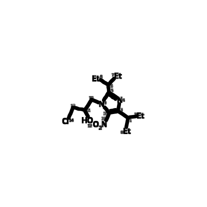 CCC(CC)c1nc(C(CC)CC)n(CC(O)CCl)c1[N+](=O)[O-]